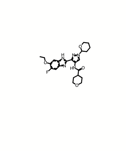 CCOc1cc2[nH]c(-c3nn(C4CCCCO4)cc3NC(=O)C3CCOCC3)nc2cc1F